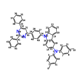 Cc1ccc(N(c2ccc(C)cc2)c2ccc3c(c2)c2ccccc2n3-c2ccc(-c3cc(-c4ccccc4)nc(-c4ccccc4)n3)cc2)cc1